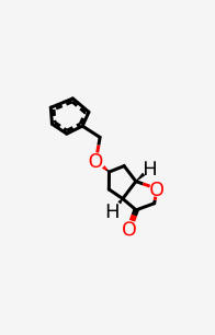 O=C1CO[C@H]2C[C@H](OCc3ccccc3)C[C@@H]12